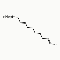 [CH2]C=CCCCCCC=CCCCCCCCC